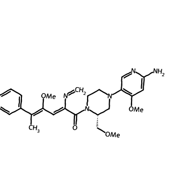 C=N/C(=C\C(OC)=C(/C)c1ccccc1)C(=O)N1CCN(c2cnc(N)cc2OC)C[C@@H]1COC